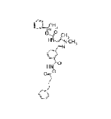 Cc1c(NC(=O)O[C@H](C)c2ccccc2)c(-c2cccc(C(=O)NOC(=O)CCCc3ccccc3)c2)nn1C